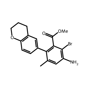 COC(=O)c1c(Br)c(N)cc(C)c1-c1ccc2c(c1)CCCO2